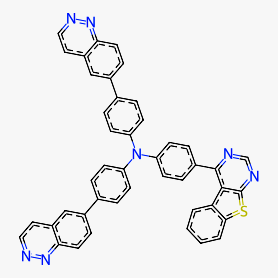 c1ccc2c(c1)sc1ncnc(-c3ccc(N(c4ccc(-c5ccc6nnccc6c5)cc4)c4ccc(-c5ccc6nnccc6c5)cc4)cc3)c12